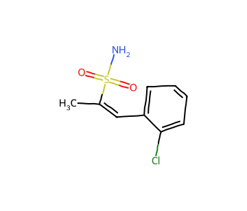 CC(=Cc1ccccc1Cl)S(N)(=O)=O